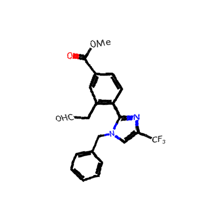 COC(=O)c1ccc(-c2nc(C(F)(F)F)cn2Cc2ccccc2)c(CC=O)c1